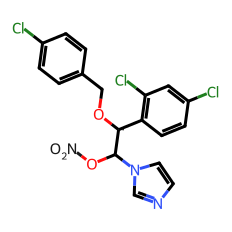 O=[N+]([O-])OC([C](OCc1ccc(Cl)cc1)c1ccc(Cl)cc1Cl)n1ccnc1